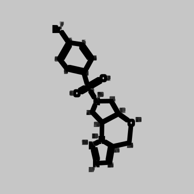 O=S(=O)(c1ccc(Br)cc1)N1CC2OCc3cnnn3C2C1